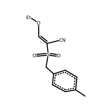 CCO/C=C(\C#N)S(=O)(=O)Cc1ccc(C)cc1